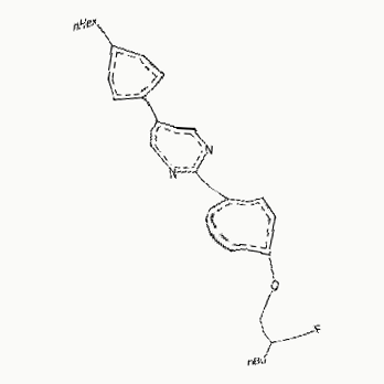 CCCCCCc1ccc(-c2cnc(-c3ccc(OCC(F)CCCC)cc3)nc2)cc1